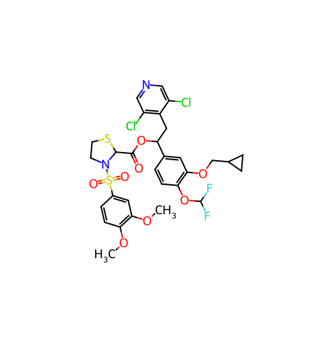 COc1ccc(S(=O)(=O)N2CCSC2C(=O)OC(Cc2c(Cl)cncc2Cl)c2ccc(OC(F)F)c(OCC3CC3)c2)cc1OC